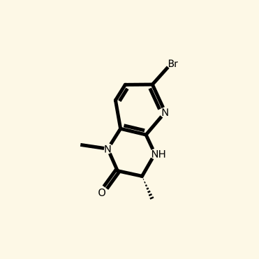 C[C@H]1Nc2nc(Br)ccc2N(C)C1=O